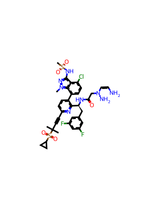 Cn1nc(NS(C)(=O)=O)c2c(Cl)ccc(-c3ccc(C#CC(C)(C)S(=O)(=O)C4CC4)nc3[C@H](Cc3cc(F)cc(F)c3)NC(=O)CN(N)/C=C\N)c21